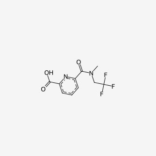 CN(CC(F)(F)F)C(=O)c1cccc(C(=O)O)n1